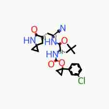 CC(C)(C)C[C@H](NC(=O)OC1(c2cccc(Cl)c2)CC1)C(=O)N[C@H](C#N)C[C@@H]1CC2(CC2)NC1=O